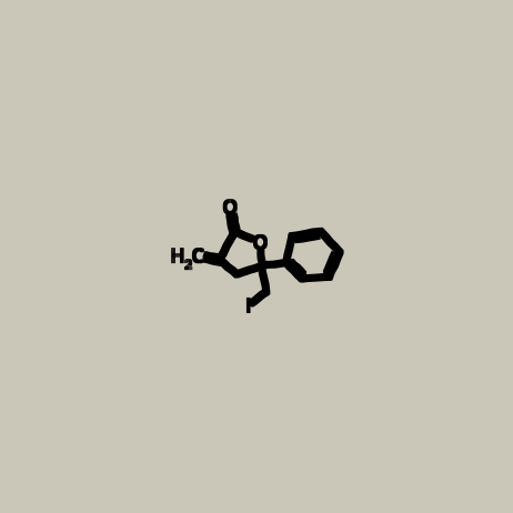 C=C1CC(CI)(c2ccccc2)OC1=O